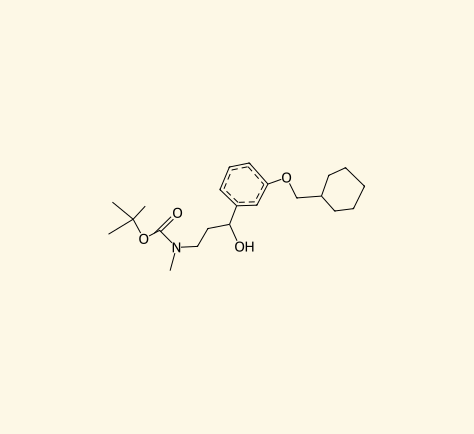 CN(CCC(O)c1cccc(OCC2CCCCC2)c1)C(=O)OC(C)(C)C